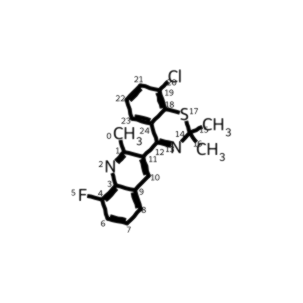 Cc1nc2c(F)cccc2cc1C1=NC(C)(C)Sc2c(Cl)cccc21